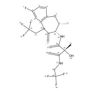 C[C@H]1Oc2ccc(F)cc2N(CC(F)(F)F)C(=O)[C@H]1NC(=O)[C@](C)(O)C(=O)NCC(F)(F)F